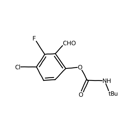 CC(C)(C)NC(=O)Oc1ccc(Cl)c(F)c1C=O